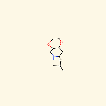 CC(C)CC1CC2OCCOC2CN1